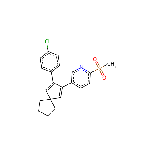 CS(=O)(=O)c1ccc(C2=CC3(C=C2c2ccc(Cl)cc2)CCCC3)cn1